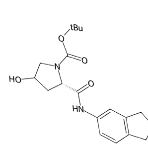 CC(C)(C)OC(=O)N1CC(O)C[C@H]1C(=O)Nc1ccc2c(c1)CCC2